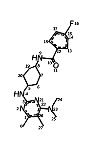 Cc1nc(NC2CCC(NC(=O)c3ccc(F)cc3)CC2)nc(N(C)C)c1C